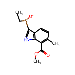 CC[S+]([O-])c1c[nH]c2c(C(=O)OC)c(C)ccc12